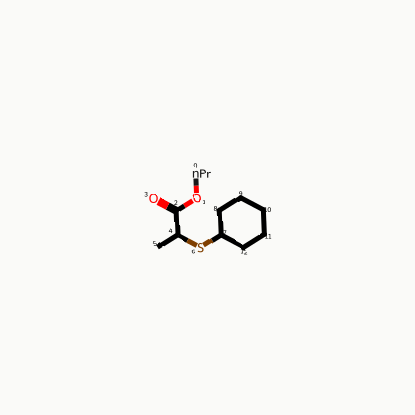 CCCOC(=O)C(C)SC1CCCCC1